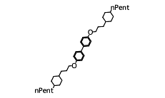 CCCCCC1CCC(CCCOc2ccc(-c3ccc(OCCCC4CCC(CCCCC)CC4)cc3)cc2)CC1